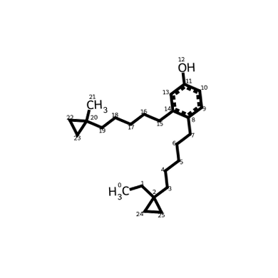 CCC1(CCCCCc2ccc(O)cc2CCCCCC2(C)CC2)CC1